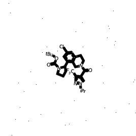 CC(C)n1cc(C(=O)N2CCc3cc(Cl)cc(C4CCCN4C(=O)OC(C)(C)C)c3C2)c(C(F)(F)F)n1